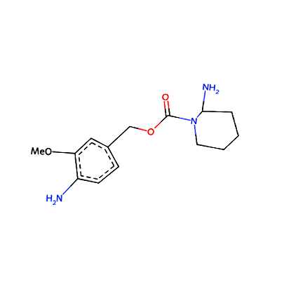 COc1cc(COC(=O)N2CCCCC2N)ccc1N